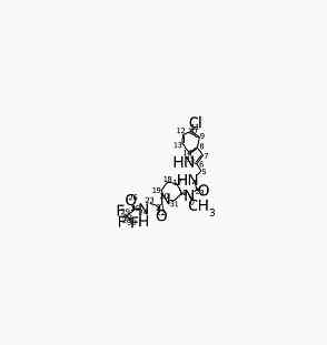 CN(C(=O)NCc1cc2cc(Cl)ccc2[nH]1)[C@@H]1CCCN(C(=O)CNC(=O)C(F)(F)F)C1